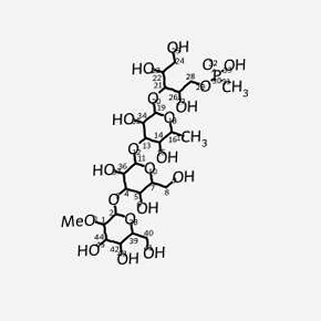 COC1C(OC2C(O)C(CO)OC(OC3C(O)C(C)OC(OC(C(O)CO)C(O)COP(C)(=O)O)C3O)C2O)OC(CO)C(O)C1O